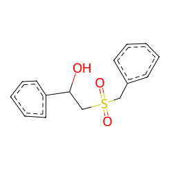 O=S(=O)(Cc1ccccc1)CC(O)c1ccccc1